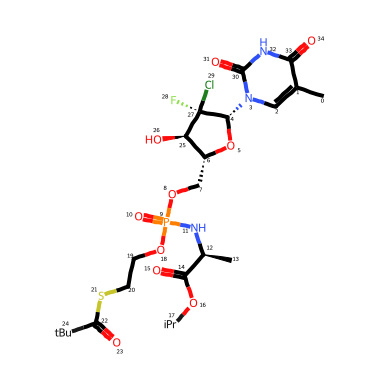 Cc1cn([C@@H]2O[C@H](COP(=O)(N[C@@H](C)C(=O)OC(C)C)OCCSC(=O)C(C)(C)C)[C@@H](O)[C@@]2(F)Cl)c(=O)[nH]c1=O